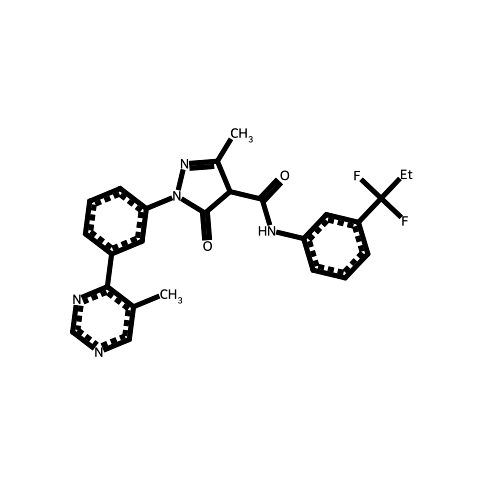 CCC(F)(F)c1cccc(NC(=O)C2C(=O)N(c3cccc(-c4ncncc4C)c3)N=C2C)c1